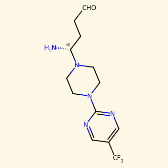 N[C@H](CCC=O)N1CCN(c2ncc(C(F)(F)F)cn2)CC1